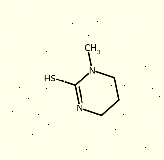 CN1CCCN=C1S